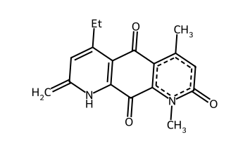 C=C1C=C(CC)C2=C(N1)C(=O)c1c(c(C)cc(=O)n1C)C2=O